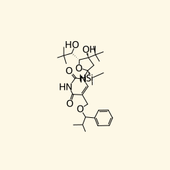 CC(C)C(OCc1cn([C@@]2([SiH](C)C)C[C@@](O)(C(C)(C)C)[C@@H](C(O)C(C)(C)C)O2)c(=O)[nH]c1=O)c1ccccc1